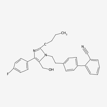 CCCCc1nc(-c2ccc(F)cc2)c(CO)n1CCc1ccc(-c2ccccc2C#N)cc1